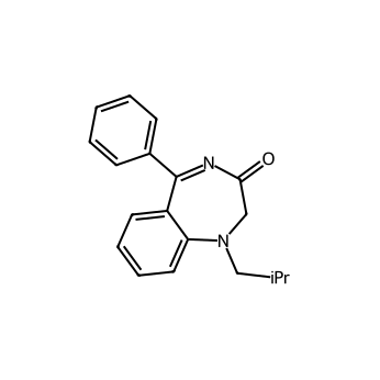 CC(C)CN1CC(=O)N=C(c2ccccc2)c2ccccc21